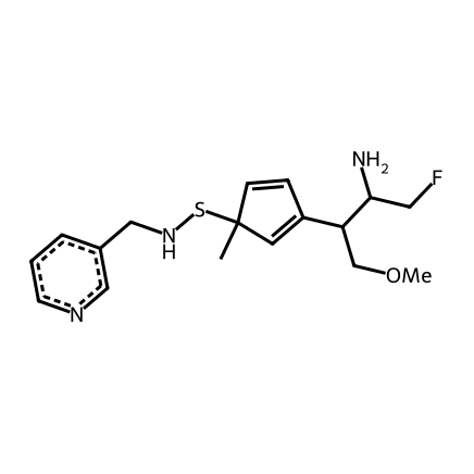 COCC(C1=CC(C)(SNCc2cccnc2)C=C1)C(N)CF